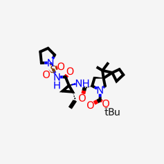 C=C[C@@H]1C[C@]1(NC(=O)[C@@H]1C[C@@]2(CN1C(=O)OC(C)(C)C)C(C)(C)C21CCC1)C(=O)NS(=O)(=O)N1CCCC1